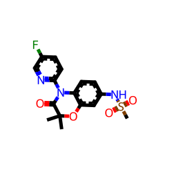 CC1(C)Oc2cc(NS(C)(=O)=O)ccc2N(c2ccc(F)cn2)C1=O